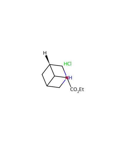 CCOC(=O)CC1C2CNC[C@H]1C2.Cl